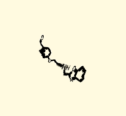 O=Cc1ccc(OCCNCc2nc3ccccc3o2)cc1